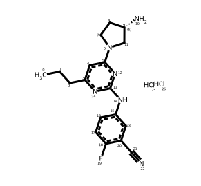 CCCc1cc(N2CC[C@H](N)C2)nc(Nc2ccc(F)c(C#N)c2)n1.Cl.Cl